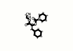 N#CCNC(=O)[C@H](CC1CCCCC1)OC(=O)N1CCCCC1